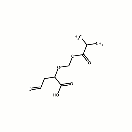 CC(C)C(=O)OCOC(CC=O)C(=O)O